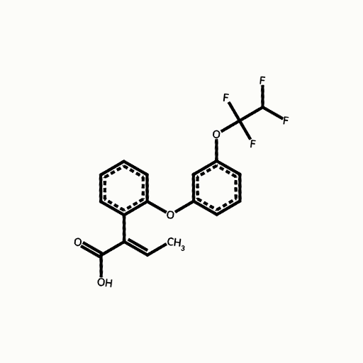 C/C=C(/C(=O)O)c1ccccc1Oc1cccc(OC(F)(F)C(F)F)c1